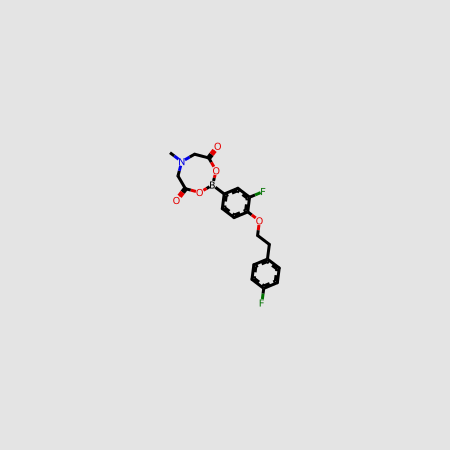 CN1CC(=O)OB(c2ccc(OCCc3ccc(F)cc3)c(F)c2)OC(=O)C1